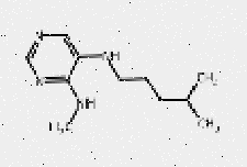 CNc1ncncc1NCCCC(C)C